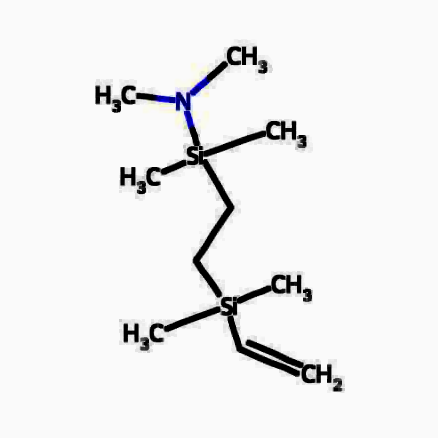 C=C[Si](C)(C)CC[Si](C)(C)N(C)C